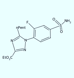 CCCCCc1nc(C(=O)OCC)nn1-c1ccc(S(N)(=O)=O)cc1F